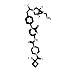 CC(Cc1ccc(-n2ccc(NC(=O)N3CCN(C(=O)C4(N)CCC4)CC3)nc2=O)cc1)N1C[C@@H]2[C@@H](CN)[C@@H]2C1